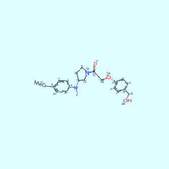 COc1ccc(N(C)C2CCN(C(=O)COc3ccc(CO)cc3)C2)cc1